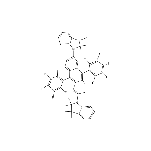 CC1(C)c2ccccc2N(c2ccc3c(-c4c(F)c(F)c(F)c(F)c4F)c4cc(N5c6ccccc6C(C)(C)C5(C)C)ccc4c(-c4c(F)c(F)c(F)c(F)c4F)c3c2)C1(C)C